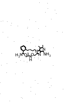 Cc1nc(N)c2nc(CONC(C)C)n(CCCCc3ccccc3C(N)=O)c2c1C